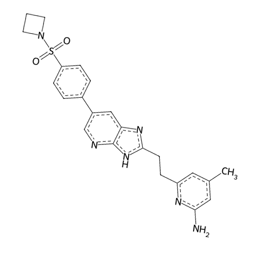 Cc1cc(N)nc(CCc2nc3cc(-c4ccc(S(=O)(=O)N5CCC5)cc4)cnc3[nH]2)c1